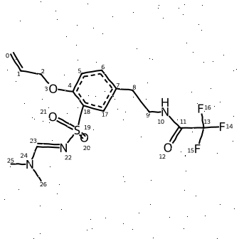 C=CCOc1ccc(CCNC(=O)C(F)(F)F)cc1S(=O)(=O)N=CN(C)C